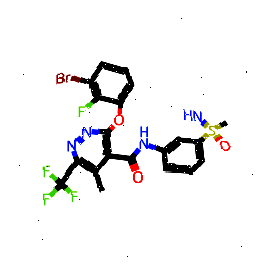 Cc1c(C(F)(F)F)nnc(Oc2cccc(Br)c2F)c1C(=O)Nc1cccc(S(C)(=N)=O)c1